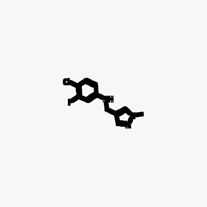 Cn1cc(CNc2ccc(Cl)c(F)c2)cn1